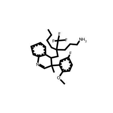 CCCCC(CCCN)(CC1c2ccccc2N=CC1(C)c1cc(F)ccc1OC)C(F)(F)F